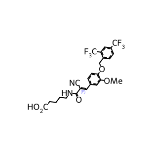 COc1cc(/C=C(\C#N)C(=O)NCCCCC(=O)O)ccc1OCc1ccc(C(F)(F)F)cc1C(F)(F)F